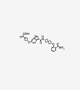 COC(=O)N1CC(Oc2ccc3c(C(=O)N[C@H]4CC5(C4)C[C@H](Oc4ccccc4C(N)=O)C5)cnn3c2)C1